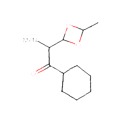 CNC(C(=O)C1CCCCC1)C1OC(C)O1